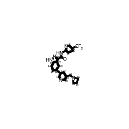 O=C(Nc1ccc(C(F)(F)F)cn1)c1n[nH]c2ccc(-c3cncc(CN4CCC4)c3)cc12